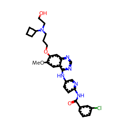 COc1cc2c(Nc3ccc(NC(=O)c4cccc(Cl)c4)nc3)ncnc2cc1OCCCN(CCO)C1CCC1